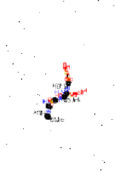 COc1ccc(NC(C)=O)c(/N=N/C2=CC=C(NS(=O)(=O)c3ccc(/N=N/c4c(S(=O)(=O)O)cc5c(SOOO)cc(/N=N/c6ccc(S(=O)(=O)CCOSOOO)cc6S(=O)(=O)O)c(N)c5c4O)cc3)CC2)c1